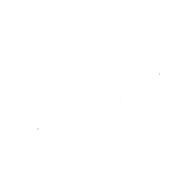 CCCc1nc2c(c(=O)n1-c1ccc(OCC(F)(F)F)cc1)CC(=O)N2